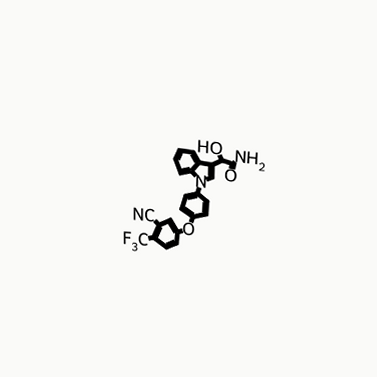 N#Cc1cc(Oc2ccc(-n3cc(C(O)C(N)=O)c4ccccc43)cc2)ccc1C(F)(F)F